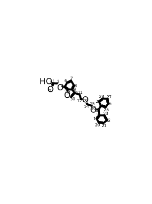 O=C(O)COc1cccc2c(CCOCCOC(c3ccccc3)c3ccccc3)coc12